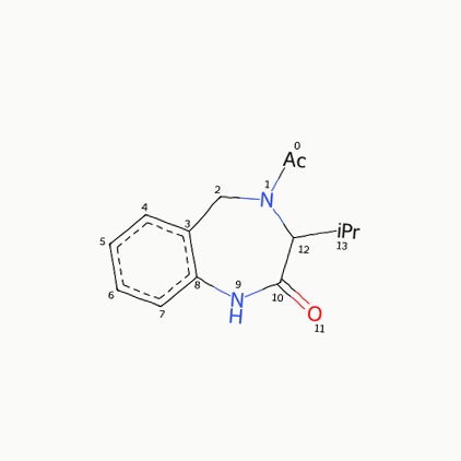 CC(=O)N1Cc2ccccc2NC(=O)C1C(C)C